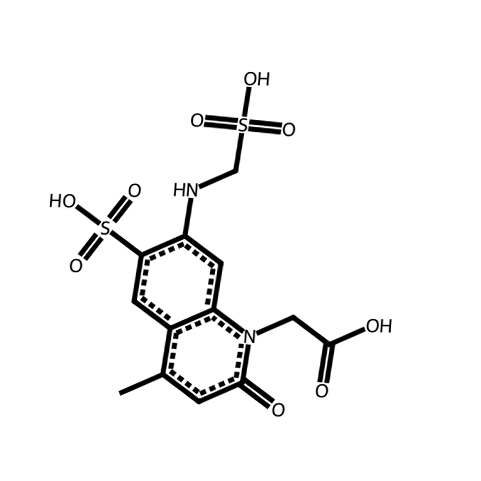 Cc1cc(=O)n(CC(=O)O)c2cc(NCS(=O)(=O)O)c(S(=O)(=O)O)cc12